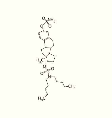 CCCCCN(CCCCC)S(=O)(=O)O[C@H]1CCC2C3CCc4cc(OS(N)(=O)=O)ccc4C3CC[C@@]21C